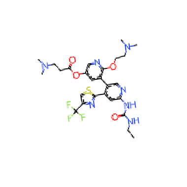 CCNC(=O)Nc1cc(-c2nc(C(F)(F)F)cs2)c(-c2cc(OC(=O)CCN(C)C)cnc2OCCN(C)C)cn1